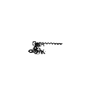 CCCCCCCCCCCCCCCCCc1cc(=O)n(-c2ccc(Oc3ccccc3)c(S(=O)(=O)O)c2)[nH]1.[K]